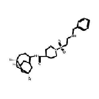 O=C(NC1CC[C@@H]2C[C@H]3CC1C[C@H]2C3)C1CCN(S(=O)(=O)CCNCc2ccccc2)CC1